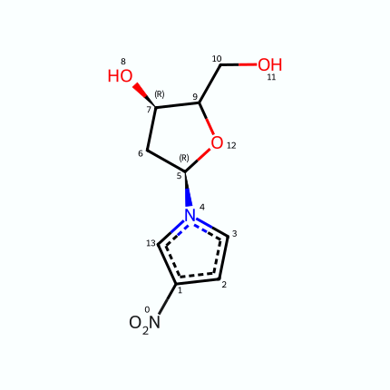 O=[N+]([O-])c1ccn([C@H]2C[C@@H](O)C(CO)O2)c1